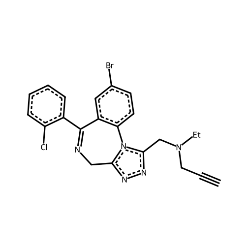 C#CCN(CC)Cc1nnc2n1-c1ccc(Br)cc1C(c1ccccc1Cl)=NC2